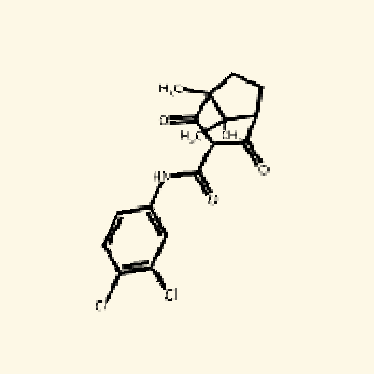 CC12CCC(C(=O)C(C(=O)Nc3ccc(Cl)c(Cl)c3)C1=O)C2(C)C